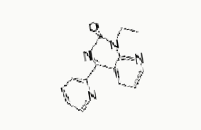 CCn1c(=O)nc(-c2ccccn2)c2cccnc21